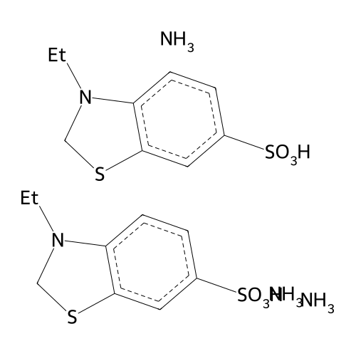 CCN1CSc2cc(S(=O)(=O)O)ccc21.CCN1CSc2cc(S(=O)(=O)O)ccc21.N.N.N